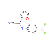 N#CC(Nc1ccc(B(F)F)cc1)c1ccco1